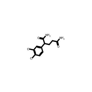 NC(=O)CCC(C(N)=O)c1ccc(Cl)c(Cl)c1